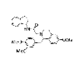 COc1ccc2c(c1)CCN(CC(=O)NC1CCc3ccccc31)C2Cc1ccc(OC)c(OC)c1